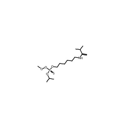 C=C(NCCCCCCOP(=S)(OOC)OC(C)C)C(C)C